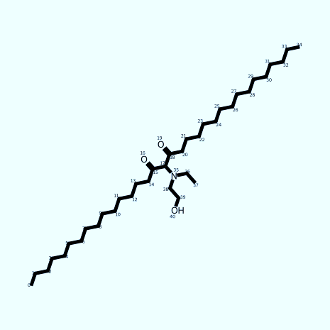 CCCCCCCCCCCCCCCC(=O)C(C(=O)CCCCCCCCCCCCCCC)N(CC)CCO